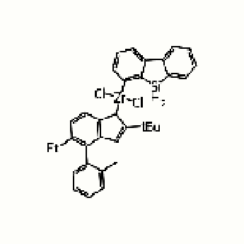 CCc1ccc2c(c1-c1ccccc1C)C=C(C(C)(C)C)[CH]2[Zr]([Cl])([Cl])[c]1cccc2c1[SiH2]c1ccccc1-2